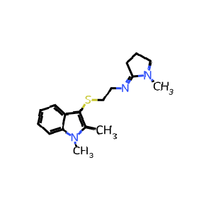 Cc1c(SCCN=C2CCCN2C)c2ccccc2n1C